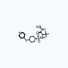 CC(C)(C)C(NS(=O)(=O)N1CCC(Sc2ccncc2)CC1)C(=O)NO